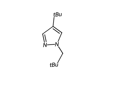 CC(C)(C)Cn1cc(C(C)(C)C)cn1